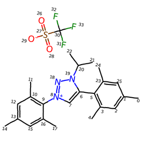 Cc1cc(C)c(-c2c[n+](-c3c(C)cc(C)cc3C)nn2C(C)C)c(C)c1.O=S(=O)([O-])C(F)(F)F